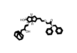 O=C(COCCC1C[C@@H]2C[C@H](O)[C@@H](C=CC(O)CC34CC5CC(CC(C5)C3)C4)[C@@H]2C1)N(Cc1ccccc1)c1ccccc1